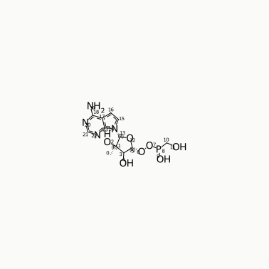 C[C@@]1(O)C(O)[C@@H](OOP(O)CO)O[C@H]1n1ccc2c(N)ncnc21